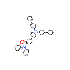 c1ccc(-c2ccc(N(c3ccc(-c4ccccc4)cc3)c3ccc(-c4ccc5c(c4)Oc4ccccc4N5c4ccccc4)cc3)cc2)cc1